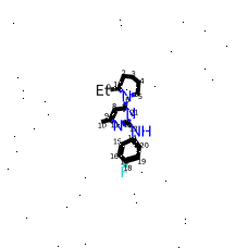 CCC1CCCCN1c1cc(C)nc(Nc2ccc(F)cc2)n1